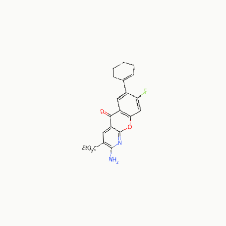 CCOC(=O)c1cc2c(=O)c3cc(C4=CCCCC4)c(F)cc3oc2nc1N